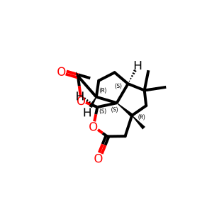 CC1(C)C[C@]2(C)CC(=O)O[C@H]3OC(=O)[C@@H]4CC[C@@H]1[C@]342